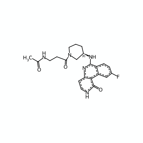 CC(=O)NCCC(=O)N1CCC[C@@H](Nc2nc3cc[nH]c(=O)c3c3cc(F)ccc23)C1